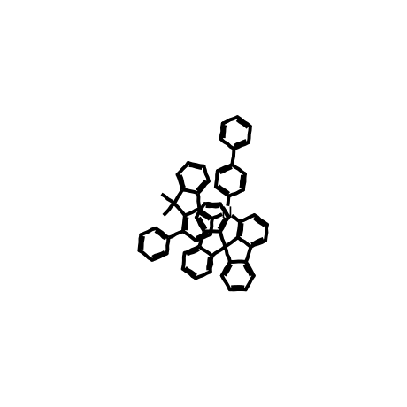 CC1(C)c2ccccc2-c2c(N(c3ccc(-c4ccccc4)cc3)c3cccc4c3C3(c5ccccc5-c5ccccc53)c3ccccc3-4)ccc(-c3ccccc3)c21